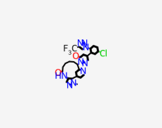 Cn1ncc2c1-c1ccnc(c1)[C@@H](n1ncc(-c3cc(Cl)ccc3-n3cc(C(F)(F)F)nn3)cc1=O)CCCCC(=O)N2